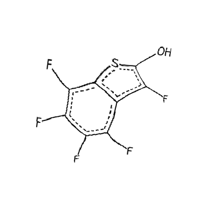 Oc1sc2c(F)c(F)c(F)c(F)c2c1F